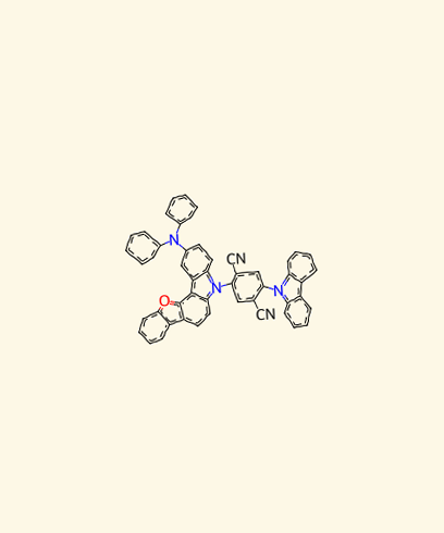 N#Cc1cc(-n2c3ccc(N(c4ccccc4)c4ccccc4)cc3c3c4oc5ccccc5c4ccc32)c(C#N)cc1-n1c2ccccc2c2ccccc21